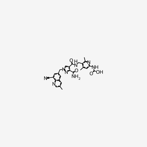 Cc1cnc2c(C#N)cc(Cn3cc(C(=O)NCc4c(C)cc(NC(=O)O)nc4C)c(C(N)=O)n3)cc2c1